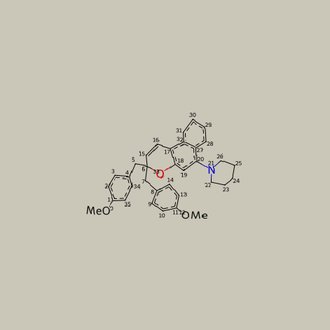 COc1ccc(CC2(Cc3ccc(OC)cc3)C=Cc3c(cc(N4CCCCC4)c4ccccc34)O2)cc1